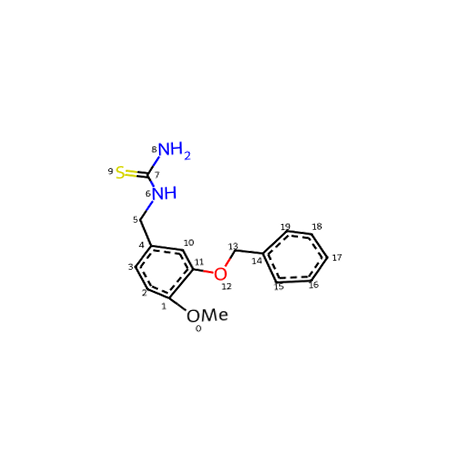 COc1ccc(CNC(N)=S)cc1OCc1ccccc1